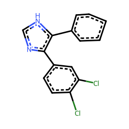 Clc1ccc(-c2nc[nH]c2-c2ccccc2)cc1Cl